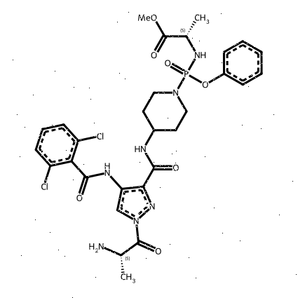 COC(=O)[C@H](C)NP(=O)(Oc1ccccc1)N1CCC(NC(=O)c2nn(C(=O)[C@H](C)N)cc2NC(=O)c2c(Cl)cccc2Cl)CC1